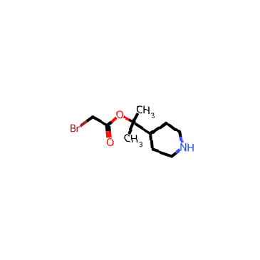 CC(C)(OC(=O)CBr)C1CCNCC1